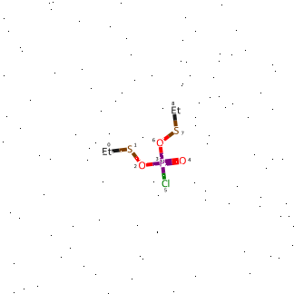 CCSOP(=O)(Cl)OSCC